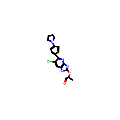 CC(C=O)Oc1nc2nc(-c3ccc(N4CCCC4)cc3)c(Cl)cc2[nH]1